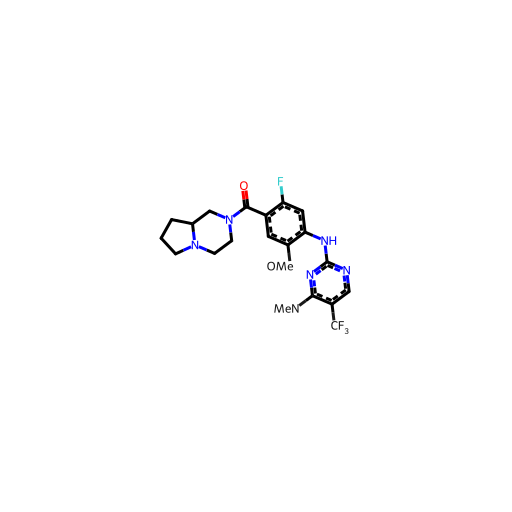 CNc1nc(Nc2cc(F)c(C(=O)N3CCN4CCCC4C3)cc2OC)ncc1C(F)(F)F